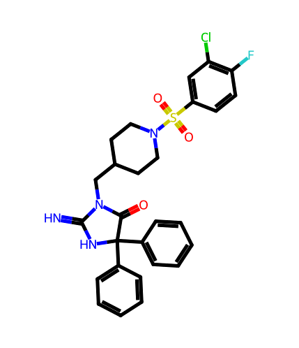 N=C1NC(c2ccccc2)(c2ccccc2)C(=O)N1CC1CCN(S(=O)(=O)c2ccc(F)c(Cl)c2)CC1